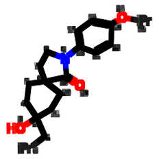 CC(C)CC1(O)CCC2(CCN(c3ccc(OC(C)C)cc3)C2=O)CC1